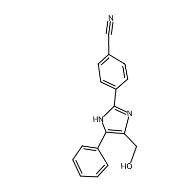 N#Cc1ccc(-c2nc(CO)c(-c3ccccc3)[nH]2)cc1